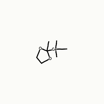 C[C]1([Ge]([CH3])([CH3])[CH3])OCCO1